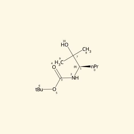 CCC[C@@H](NC(=O)OC(C)(C)C)C(C)(C)O